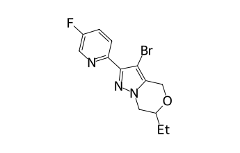 CCC1Cn2nc(-c3ccc(F)cn3)c(Br)c2CO1